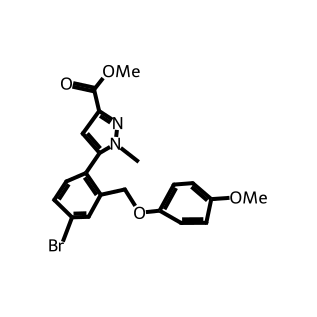 COC(=O)c1cc(-c2ccc(Br)cc2COc2ccc(OC)cc2)n(C)n1